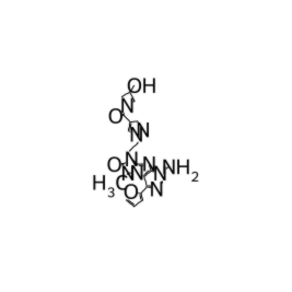 Cn1c(=O)n(CCn2cc(C(=O)N3CC(O)C3)cn2)c2nc3c(n21)C(c1ccco1)=NCN3N